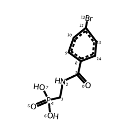 O=C(NCP(=O)(O)O)c1ccc(Br)cc1